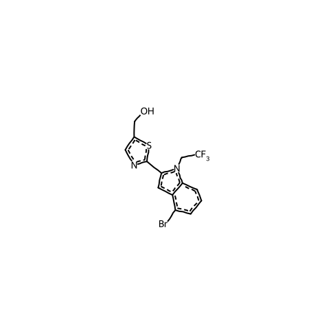 OCc1cnc(-c2cc3c(Br)cccc3n2CC(F)(F)F)s1